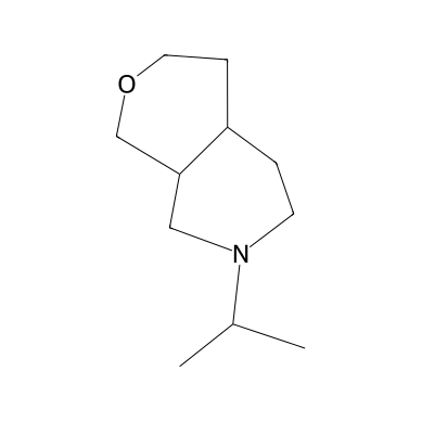 CC(C)N1CCC2CCOCC2C1